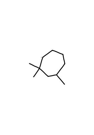 CC1CCC[CH]C(C)(C)C1